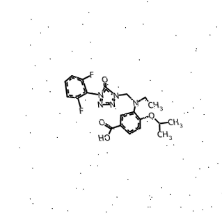 CCN(Cn1nnn(-c2c(F)cccc2F)c1=O)c1cc(C(=O)O)ccc1OC(C)C